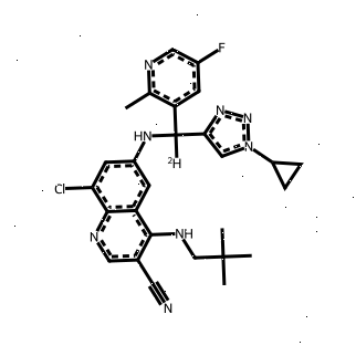 [2H]C(Nc1cc(Cl)c2ncc(C#N)c(NCC(C)(C)C)c2c1)(c1cn(C2CC2)nn1)c1cc(F)cnc1C